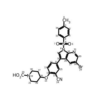 Cc1ccc(S(=O)(=O)n2cc(-c3ccc(OC4CCN(C(=O)O)CC4)c(C#N)c3)c3cc(Br)cnc32)cc1